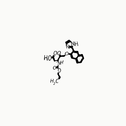 C=CCOC(=O)N[C@@H](CC(=O)O)C(=O)COc1cc2ccccc2cc1-c1ncc[nH]1